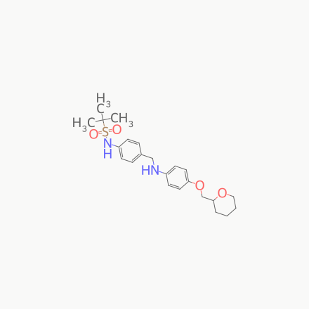 CC(C)(C)S(=O)(=O)Nc1ccc(CNc2ccc(OCC3CCCCO3)cc2)cc1